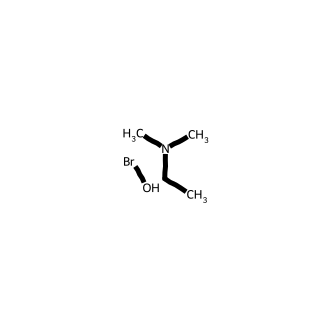 CCN(C)C.OBr